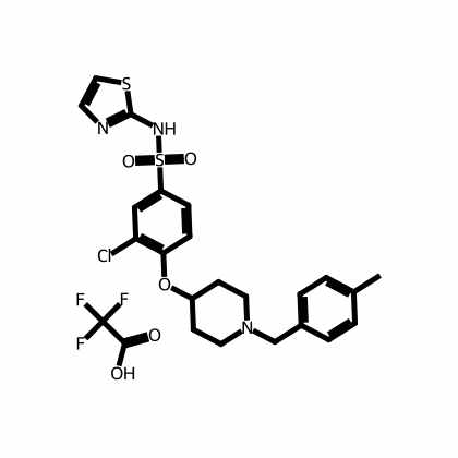 Cc1ccc(CN2CCC(Oc3ccc(S(=O)(=O)Nc4nccs4)cc3Cl)CC2)cc1.O=C(O)C(F)(F)F